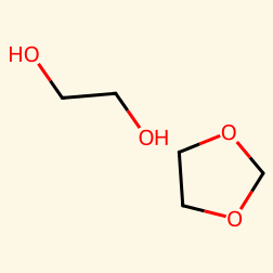 C1COCO1.OCCO